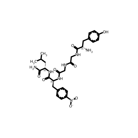 CC(C)C[C@H](NC(=O)[C@H](Cc1ccc([N+](=O)[O-])cc1)NC(=O)CNC(=O)CNC(=O)[C@@H](N)Cc1ccc(O)cc1)C(N)=O